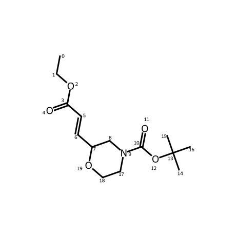 CCOC(=O)C=CC1CN(C(=O)OC(C)(C)C)CCO1